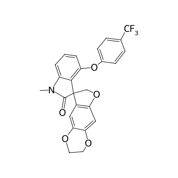 CN1C(=O)C2(COc3cc4c(cc32)OCCO4)c2c(Oc3ccc(C(F)(F)F)cc3)cccc21